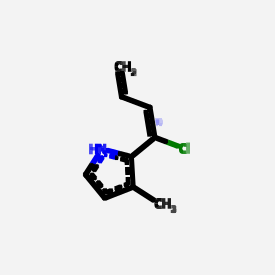 C=C/C=C(/Cl)c1[nH]ccc1C